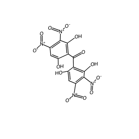 O=C(c1c(O)cc([N+](=O)[O-])c([N+](=O)[O-])c1O)c1c(O)cc([N+](=O)[O-])c([N+](=O)[O-])c1O